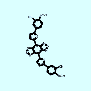 CCCCCCCCc1ccc(-c2ccc(-c3c4c(c(-c5ccc(-c6ccc(CCCCCCCC)c(C#N)c6)s5)c5nsnc35)N=S=N4)s2)cc1C#N